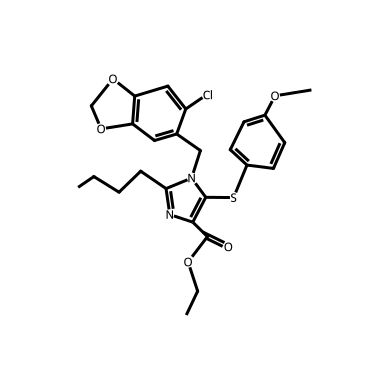 CCCCc1nc(C(=O)OCC)c(Sc2ccc(OC)cc2)n1Cc1cc2c(cc1Cl)OCO2